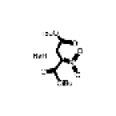 CC(C)COC(=O)CC(C(=O)OCC(C)C)=S(=O)=O.[NaH]